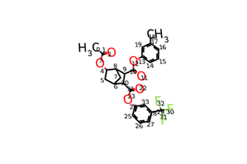 CC(=O)OC1CC2CC1C(C(=O)Oc1cccc(C)c1)C2C(=O)Oc1cccc(C(F)(F)F)c1